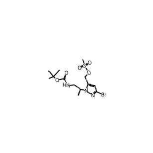 CC(CNC(=O)OC(C)(C)C)n1nc(Br)cc1COS(C)(=O)=O